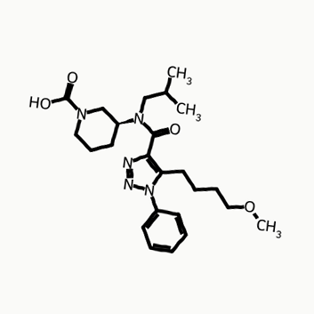 COCCCCc1c(C(=O)N(CC(C)C)[C@H]2CCCN(C(=O)O)C2)nnn1-c1ccccc1